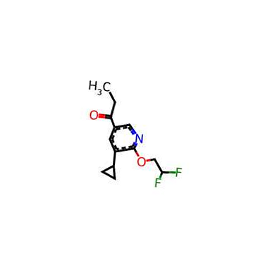 CCC(=O)c1cnc(OCC(F)F)c(C2CC2)c1